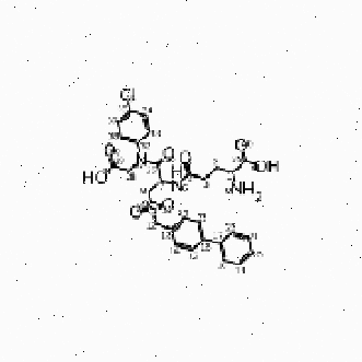 N[C@@H](CCC(=O)N[C@@H](CS(=O)(=O)Cc1ccc(-c2ccccc2)cc1)C(=O)N(CC(=O)O)c1ccc(Cl)cc1)C(=O)O